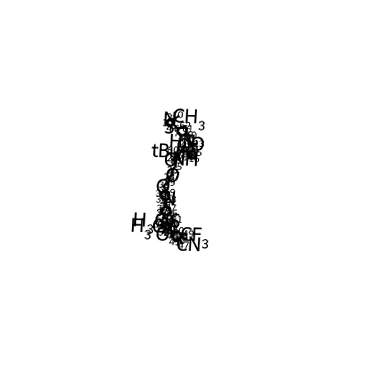 Cc1ncsc1-c1ccc(CNC(=O)[C@@H]2CCCN2C(=O)C(NC(=O)CCOCCOc2ccc(-c3ccc(N4C(=S)N(c5ccc(C#N)c(C(F)(F)F)c5)C(=O)C4(C)C)cc3)nc2)C(C)(C)C)cc1